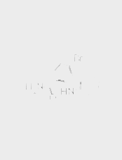 NC(=O)c1ccc(Br)c2c3c([nH]c12)CCCC3